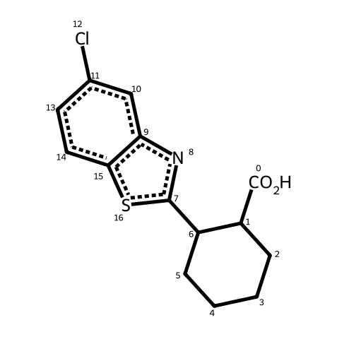 O=C(O)C1CCCCC1c1nc2cc(Cl)ccc2s1